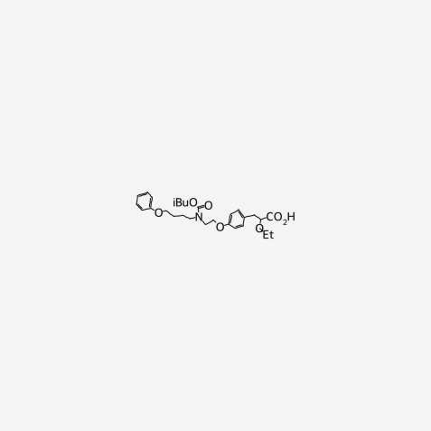 CCOC(Cc1ccc(OCCN(CCCCOc2ccccc2)C(=O)OCC(C)C)cc1)C(=O)O